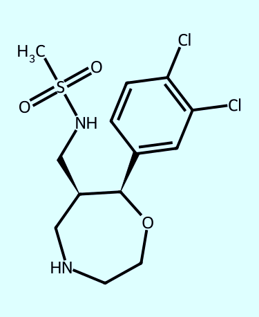 CS(=O)(=O)NC[C@@H]1CNCCO[C@@H]1c1ccc(Cl)c(Cl)c1